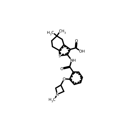 CN1CC(Oc2ccccc2C(=O)Nc2sc3c(c2C(=O)O)CC(C)(C)CC3)C1